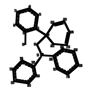 Cc1ccccc1C1(CP(c2ccccc2)c2ccccc2)C=CC=CC1